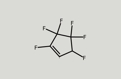 FC1=[C]C(F)C(F)(F)C1(F)F